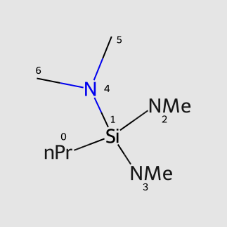 CCC[Si](NC)(NC)N(C)C